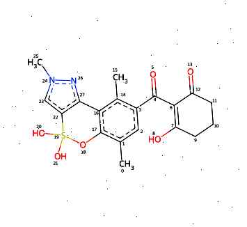 Cc1cc(C(=O)C2=C(O)CCCC2=O)c(C)c2c1OS(O)(O)c1cn(C)nc1-2